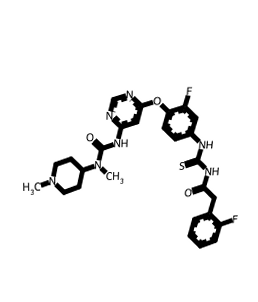 CN1CCC(N(C)C(=O)Nc2cc(Oc3ccc(NC(=S)NC(=O)Cc4ccccc4F)cc3F)ncn2)CC1